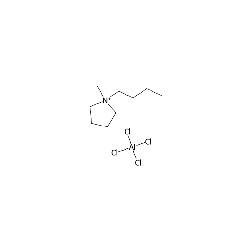 CCCC[N+]1(C)CCCC1.[Cl][Al-]([Cl])([Cl])[Cl]